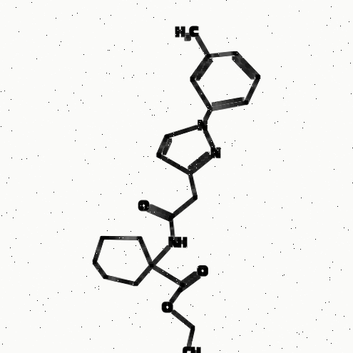 CCOC(=O)C1(NC(=O)Cc2ccn(-c3cccc(C)c3)n2)CCCCC1